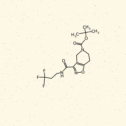 CC(C)(C)OC(=O)N1CCc2onc(C(=O)NCCC(F)(F)F)c2C1